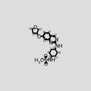 CS(=O)(=O)NC1CCC(Nc2ncc3ccc(OC4CCOC4)cc3n2)CC1